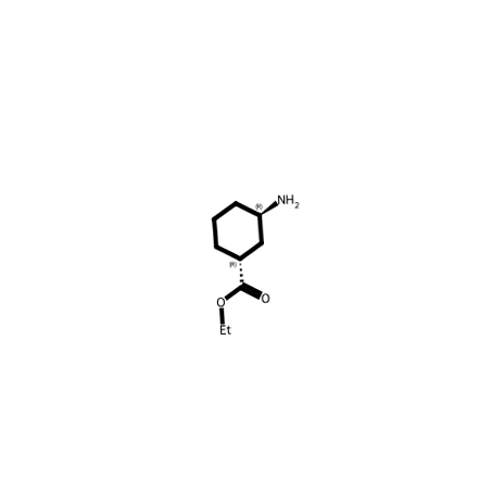 CCOC(=O)[C@@H]1CCC[C@@H](N)C1